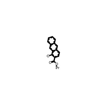 CC(C)OC(=O)c1ccc2cc3ccccc3cc2c1[O]